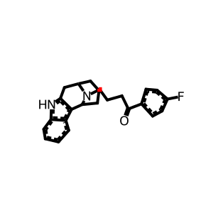 O=C(CCCN1C2CCCC1c1c([nH]c3ccccc13)C2)c1ccc(F)cc1